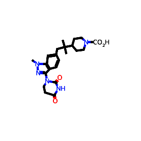 Cn1nc(N2CCC(=O)NC2=O)c2ccc(CC(C)(C)C3CCN(C(=O)O)CC3)cc21